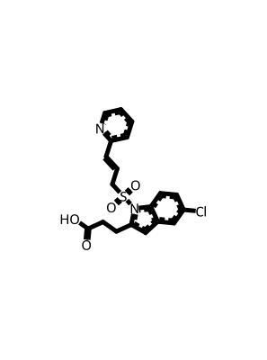 O=C(O)CCc1cc2cc(Cl)ccc2n1S(=O)(=O)CC=Cc1ccccn1